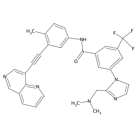 Cc1ccc(NC(=O)c2cc(-n3ccnc3CN(C)C)cc(C(F)(F)F)c2)cc1C#Cc1cncc2cccnc12